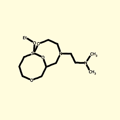 CCO[Si]12CCCOCC(CN(CCN(C)C)CCO1)O2